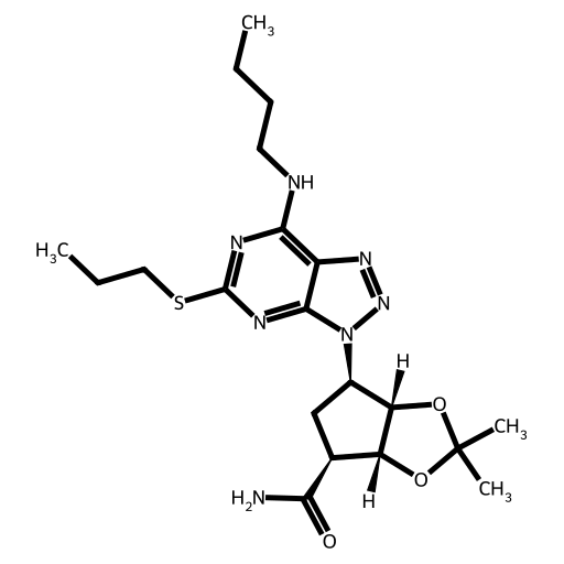 CCCCNc1nc(SCCC)nc2c1nnn2[C@@H]1C[C@H](C(N)=O)[C@H]2OC(C)(C)O[C@H]21